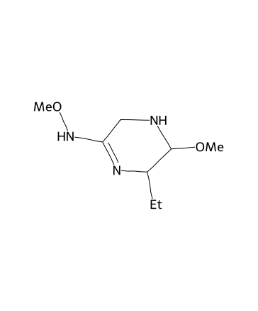 CCC1N=C(NOC)CNC1OC